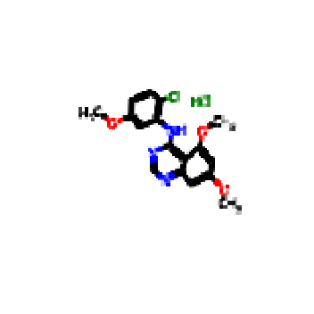 COc1ccc(Cl)c(Nc2ncnc3cc(OC)cc(OC)c23)c1.Cl